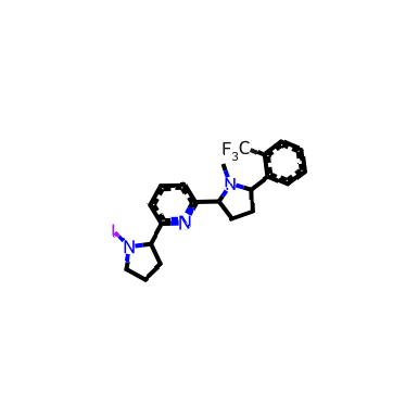 CN1C(c2cccc(C3CCCN3I)n2)CCC1c1ccccc1C(F)(F)F